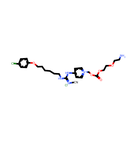 N#CN=C(NCCCCCCOc1ccc(Cl)cc1)Nc1cc[n+](COC(=O)OCCOCCN)cc1.[Cl-]